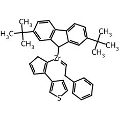 CC(C)(C)c1ccc2c(c1)[CH]([Zr](=[CH]Cc1ccccc1)[C]1=C(c3ccsc3)C=CC1)c1cc(C(C)(C)C)ccc1-2